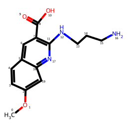 COc1ccc2cc(C(=O)O)c(NCCCN)nc2c1